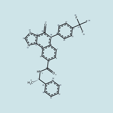 C[C@H](NC(=O)c1ccc2c(c1)c1ncsc1c(=O)n2-c1ccc(C(F)(F)F)cc1)c1ccccn1